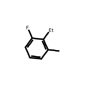 CCc1c(C)c[c]cc1F